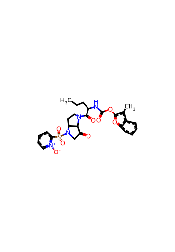 CCCC(NC(=O)Oc1oc2ccccc2c1C)C(=O)N1CCC2C1C(=O)CN2S(=O)(=O)c1cccc[n+]1[O-]